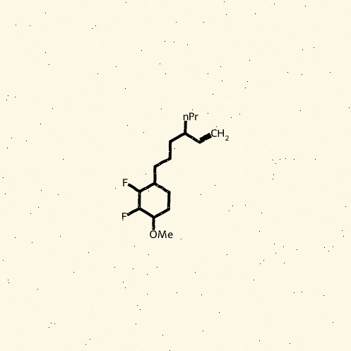 C=CC(CCC)CCCC1CCC(OC)C(F)C1F